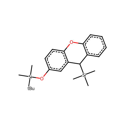 CC(C)(C)[Si](C)(C)Oc1ccc2c(c1)C([Si](C)(C)C)c1ccccc1O2